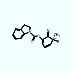 C[C@]1(F)C=CC=C(OC(=O)N2CCc3ccccc32)C1=O